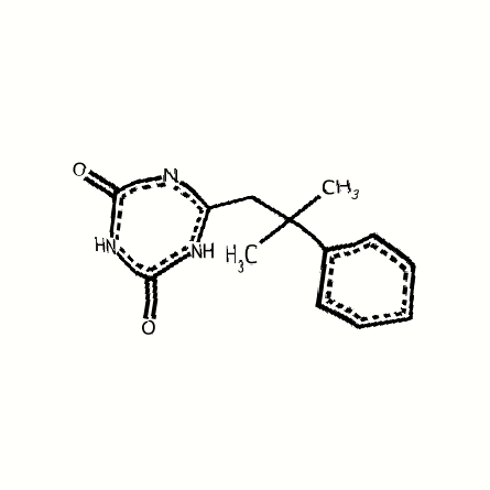 CC(C)(Cc1nc(=O)[nH]c(=O)[nH]1)c1ccccc1